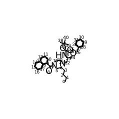 CCCC[C@H]1CN(C(=O)c2cccc3ccccc23)CCN1C[C@H](COCc1ccccc1)NC(=O)OC(C)(C)C